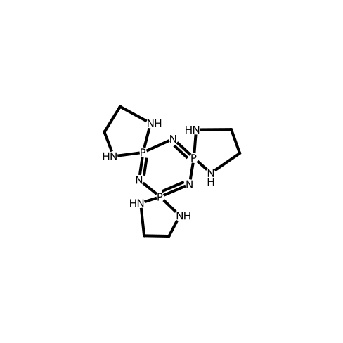 C1CNP2(=NP3(=NP4(=N2)NCCN4)NCCN3)N1